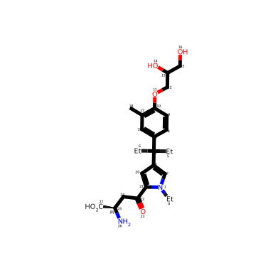 CCn1cc(C(CC)(CC)c2ccc(OCC(O)CO)c(C)c2)cc1C(=O)C[C@@H](N)C(=O)O